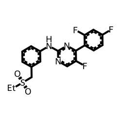 CCS(=O)(=O)Cc1cccc(Nc2ncc(F)c(-c3ccc(F)cc3F)n2)c1